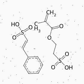 C=C(C)C(=O)OCCS(=O)(=O)O.O=S(=O)(O)C=Cc1ccccc1